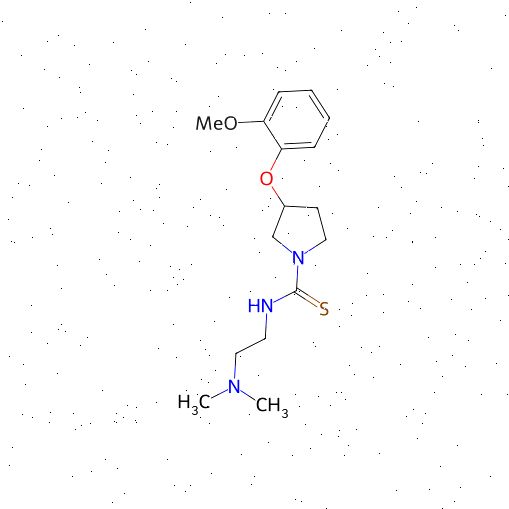 COc1ccccc1OC1CCN(C(=S)NCCN(C)C)C1